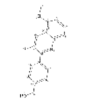 COc1cccc2nc(-c3ccc(CO)cc3)c(C)cc12